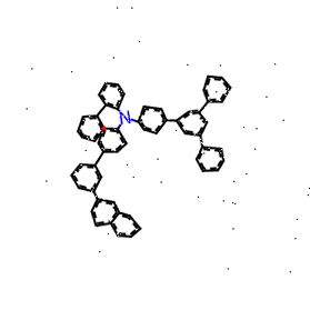 c1ccc(-c2cc(-c3ccccc3)cc(-c3ccc(N(c4ccc(-c5cccc(-c6ccc7ccccc7c6)c5)cc4)c4ccccc4-c4ccccc4)cc3)c2)cc1